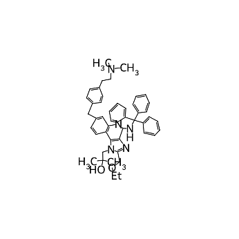 CCOCc1nc2c(NC(c3ccccc3)(c3ccccc3)c3ccccc3)nc3cc(Cc4ccc(CCN(C)C)cc4)ccc3c2n1CC(C)(C)O